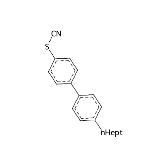 CCCCCCCc1ccc(-c2ccc(SC#N)cc2)cc1